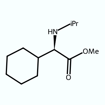 COC(=O)[C@H](NC(C)C)C1CCCCC1